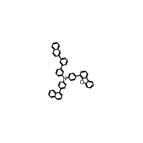 c1cc(-c2cccc(N(c3ccc(-c4cccc5ccccc45)cc3)c3ccc(-c4cccc5c4oc4ccccc45)cc3)c2)cc(-c2ccc3ccccc3c2)c1